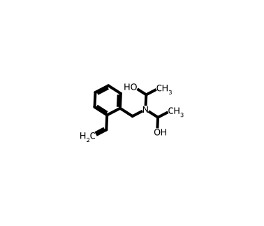 C=Cc1ccccc1CN(C(C)O)C(C)O